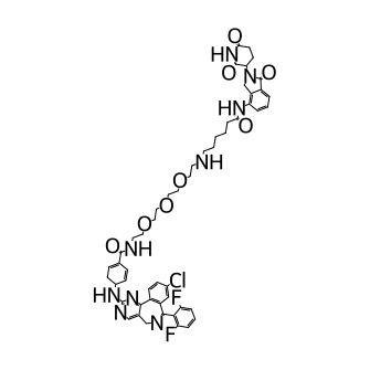 O=C1CCC(N2Cc3c(NC(=O)CCCCCNCCOCCOCCOCCNC(=O)C4=CCC(Nc5ncc6c(n5)-c5ccc(Cl)cc5C(c5c(F)cccc5F)=NC6)C=C4)cccc3C2=O)C(=O)N1